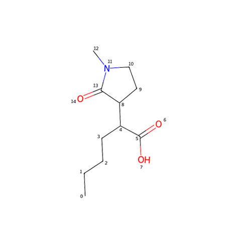 CCCCC(C(=O)O)C1CCN(C)C1=O